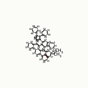 CC1(C)c2ccccc2-c2c(N(c3ccccc3-c3ccccc3)c3cccc4c3cc(-c3ccccc3)n3nc(-c5ccccc5)c(-c5ccccc5)c43)cccc21